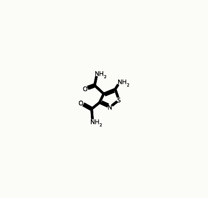 NC(=O)c1nsc(N)c1C(N)=O